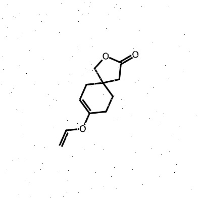 C=COC1=CCC2(CC1)COC(=O)C2